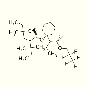 CCC(C(=O)OCC(F)(F)C(F)(F)F)C1(OC(=O)C(CC(C)(C)CC)C(C)(C)CC)CCCCC1